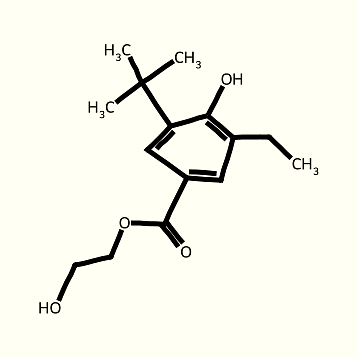 CCc1cc(C(=O)OCCO)cc(C(C)(C)C)c1O